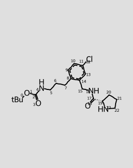 CC(C)(C)OC(=O)NCCCc1ccc(Cl)cc1CNC(=O)[C@@H]1CCCN1